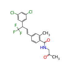 CC(=O)CNC(=O)c1ccc(/C=C/C(c2cc(Cl)cc(Cl)c2)C(F)(F)F)cc1C